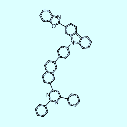 c1ccc(-c2cc(-c3ccc4ccc(-c5ccc(-n6c7ccccc7c7ccc(-c8nc9ccccc9o8)cc76)cc5)cc4c3)nc(-c3ccccc3)n2)cc1